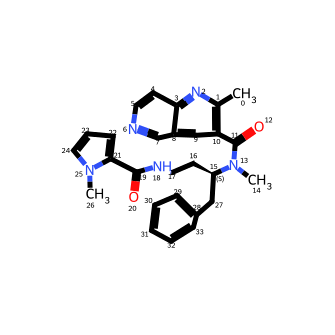 Cc1nc2ccncc2cc1C(=O)N(C)[C@H](CCNC(=O)c1cccn1C)Cc1ccccc1